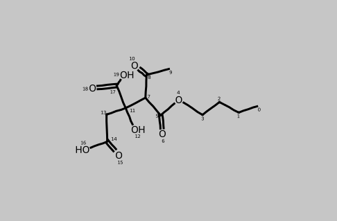 CCCCOC(=O)C(C(C)=O)C(O)(CC(=O)O)C(=O)O